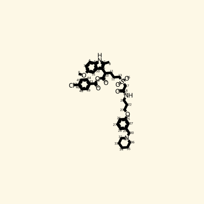 COc1ccc2[nH]c(C)c(C(CCCS(=O)(=O)CC(=O)NCCCOc3cccc(CN4CCCCC4)c3)C(=O)OC(=O)c3ccc(Cl)cc3)c2c1